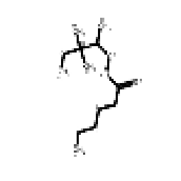 CCCCCC(=O)OOC(C)C(C)(C)CC